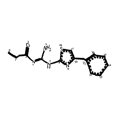 CCC(=O)/N=C(\N)Nc1nc(-c2ccccc2)cs1